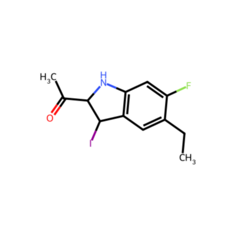 CCc1cc2c(cc1F)NC(C(C)=O)C2I